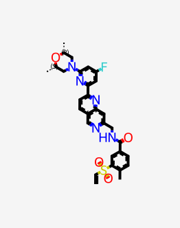 C=CS(=O)(=O)c1cc(C(=O)NCc2cc3nc(-c4cc(F)cc(N5C[C@@H](C)O[C@@H](C)C5)n4)ccc3cn2)ccc1C